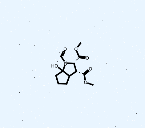 COC(=O)[C@@H]1C2CCCC2(O)N(C=O)[C@@H]1C(=O)OC